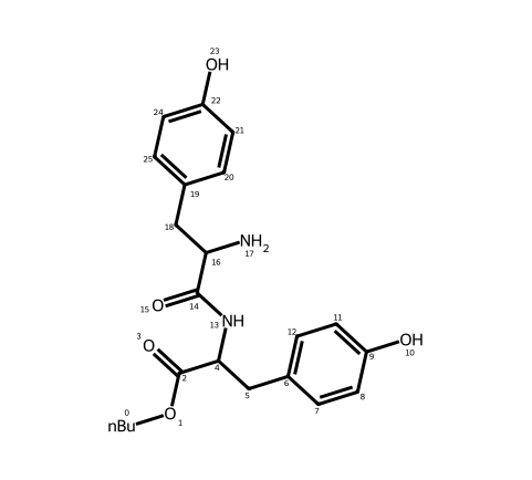 CCCCOC(=O)C(Cc1ccc(O)cc1)NC(=O)C(N)Cc1ccc(O)cc1